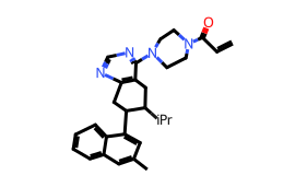 C=CC(=O)N1CCN(c2ncnc3c2CC(C(C)C)C(c2cc(C)cc4ccccc24)C3)CC1